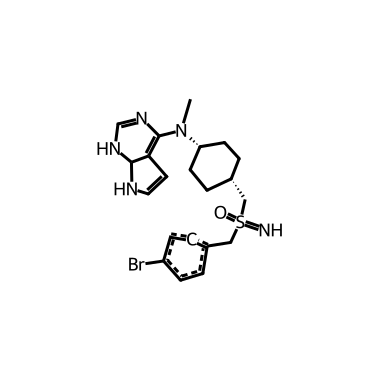 CN(C1=C2C=CNC2NC=N1)[C@H]1CC[C@@H](CS(=N)(=O)Cc2ccc(Br)cc2)CC1